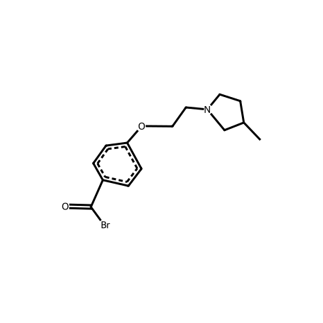 CC1CCN(CCOc2ccc(C(=O)Br)cc2)C1